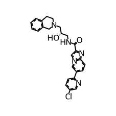 O=C(NC[C@H](O)CN1CCc2ccccc2C1)c1cn2cc(-c3ccc(Cl)cn3)ccc2n1